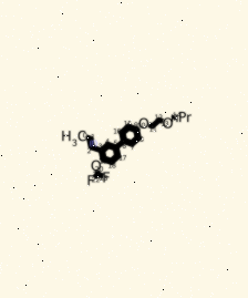 C/C=C/c1cc(-c2ccc(OCCOCCC)cc2)ccc1OC(F)F